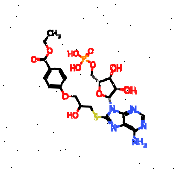 CCOC(=O)c1ccc(OCC(O)CSc2nc3c(N)ncnc3n2[C@@H]2O[C@H](COP(=O)(O)O)[C@@H](O)[C@H]2O)cc1